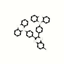 Cc1ccc2nc(-c3ccc(N4c5ccccc5Oc5ccccc54)cc3)c(-c3ccc(N4c5ccccc5Oc5ccccc54)cc3)nc2c1